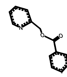 O=C(OCc1ccccn1)c1cc[c]cc1